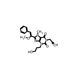 C#CCn1c(=O)c2c(nc(C(=Cc3ccccc3)OC)n2C)n(CCCO)c1=O